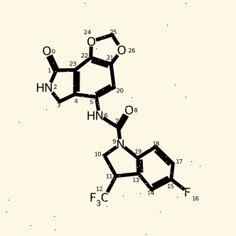 O=C1NCc2c(NC(=O)N3CC(C(F)(F)F)c4cc(F)ccc43)cc3c(c21)OCO3